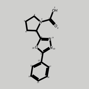 O=C(O)N1CCCC1c1nnc(-c2ccccc2)o1